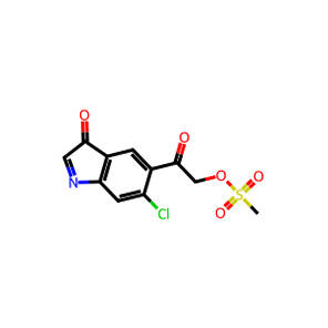 CS(=O)(=O)OCC(=O)c1cc2c(cc1Cl)N=CC2=O